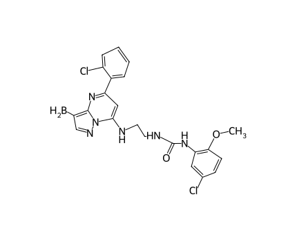 Bc1cnn2c(NCCNC(=O)Nc3cc(Cl)ccc3OC)cc(-c3ccccc3Cl)nc12